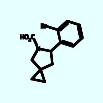 O=C(O)N1CC2(CC2)CC1c1ccccc1Br